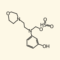 O=[SH](=O)OCN(CCN1CCOCC1)c1cccc(O)c1